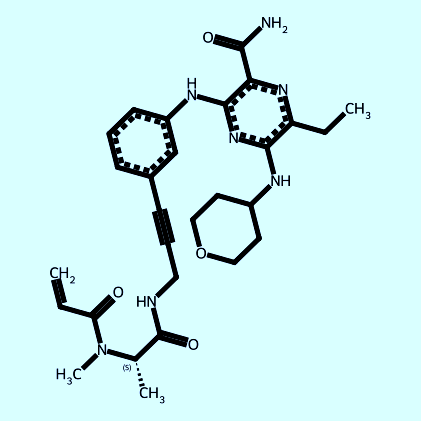 C=CC(=O)N(C)[C@@H](C)C(=O)NCC#Cc1cccc(Nc2nc(NC3CCOCC3)c(CC)nc2C(N)=O)c1